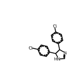 Clc1ccc(C2N=CNC2c2ccc(Cl)cc2)cc1